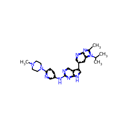 Cc1nc2ncc(-c3c[nH]c4nc(Nc5ccc(N6CCN(C)CC6)nc5)ncc34)cc2n1C(C)C